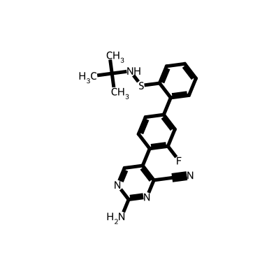 CC(C)(C)NSc1ccccc1-c1ccc(-c2cnc(N)nc2C#N)c(F)c1